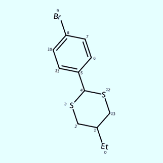 CCC1CSC(c2ccc(Br)cc2)SC1